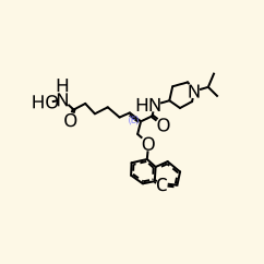 CC(C)N1CCC(NC(=O)/C(=C/CCCCC(=O)NO)COc2cccc3ccccc23)CC1